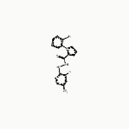 CCc1ccccc1-n1cccc1C(=O)NNc1ncc(C(F)(F)F)cc1Cl